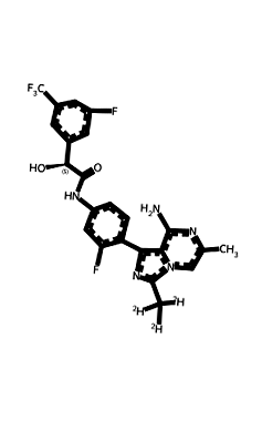 [2H]C([2H])([2H])c1nc(-c2ccc(NC(=O)[C@@H](O)c3cc(F)cc(C(F)(F)F)c3)cc2F)c2c(N)nc(C)cn12